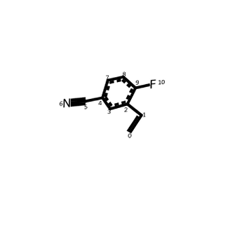 C=Cc1cc(C#N)ccc1F